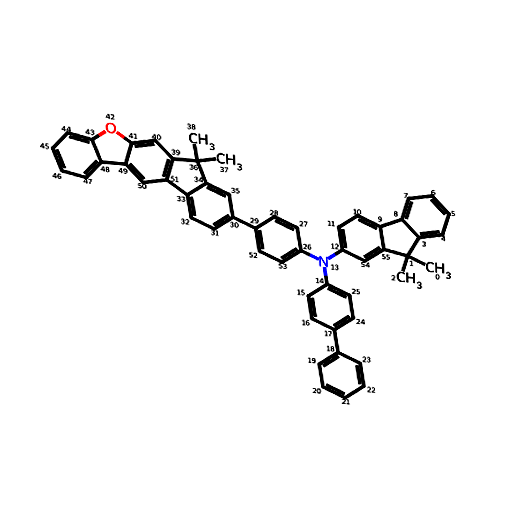 CC1(C)c2ccccc2-c2ccc(N(c3ccc(-c4ccccc4)cc3)c3ccc(-c4ccc5c(c4)C(C)(C)c4cc6oc7ccccc7c6cc4-5)cc3)cc21